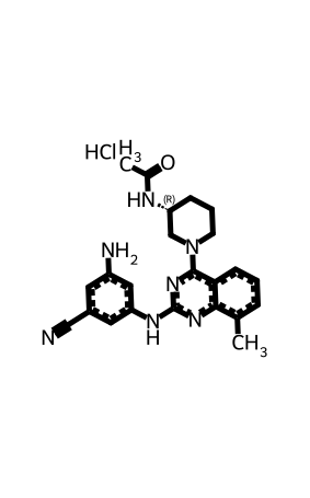 CC(=O)N[C@@H]1CCCN(c2nc(Nc3cc(N)cc(C#N)c3)nc3c(C)cccc23)C1.Cl